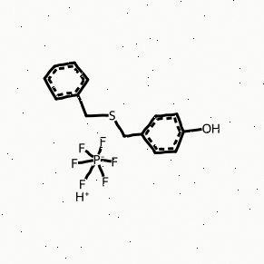 F[P-](F)(F)(F)(F)F.Oc1ccc(CSCc2ccccc2)cc1.[H+]